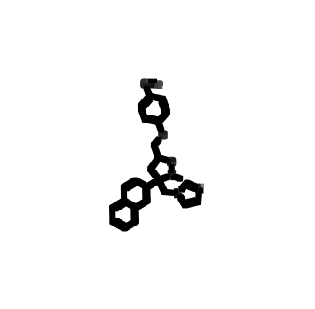 COc1ccc(OCC2CC(Cn3ccnc3)(c3ccc4ccccc4c3)N(C)O2)cc1